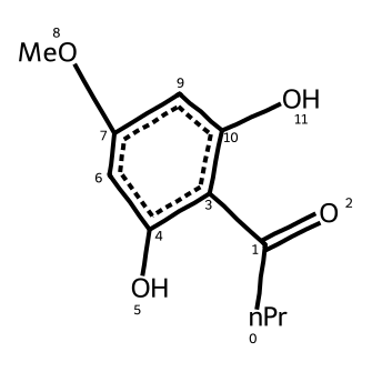 CCCC(=O)c1c(O)cc(OC)cc1O